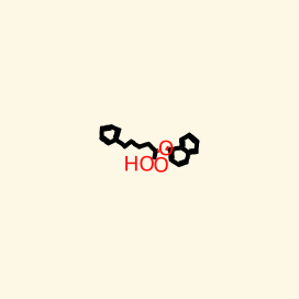 O=C(O)C(CCCCc1ccccc1)Oc1cccc2ccccc12